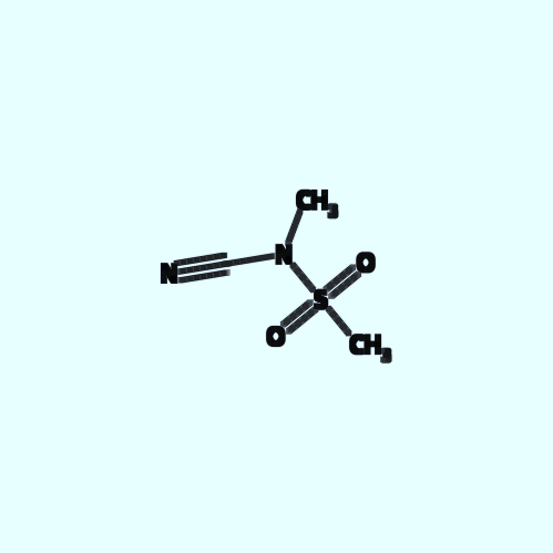 CN(C#N)S(C)(=O)=O